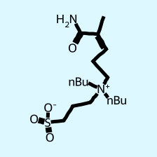 CCCC[N+](CCC=C(C)C(N)=O)(CCCC)CCCS(=O)(=O)[O-]